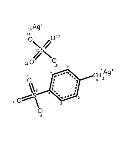 Cc1ccc(S(=O)(=O)Cl)cc1.O=S(=O)([O-])[O-].[Ag+].[Ag+]